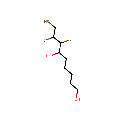 OCCCCCC(O)C(S)C(S)CS